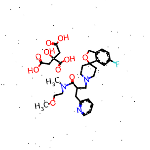 COCCN(C)C(=O)C(Cc1ccccn1)CN1CCC2(CC1)OCc1ccc(F)cc12.O=C(O)CC(O)(CC(=O)O)C(=O)O